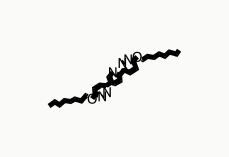 CCCCCCCCOc1ccc(-c2ccc(-c3ccc(OCCCCCCCC)nn3)nc2)nn1